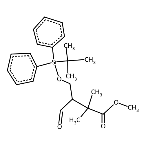 COC(=O)C(C)(C)C(C=O)CO[Si](c1ccccc1)(c1ccccc1)C(C)(C)C